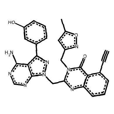 C#Cc1cccc2nc(Cn3nc(-c4cccc(O)c4)c4c(N)ncnc43)n(Cc3cc(C)on3)c(=O)c12